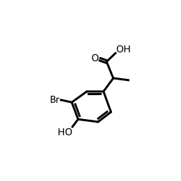 CC(C(=O)O)c1ccc(O)c(Br)c1